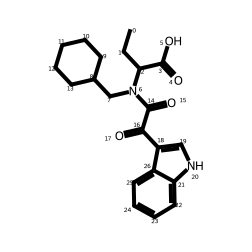 CCC(C(=O)O)N(CC1CCCCC1)C(=O)C(=O)c1c[nH]c2ccccc12